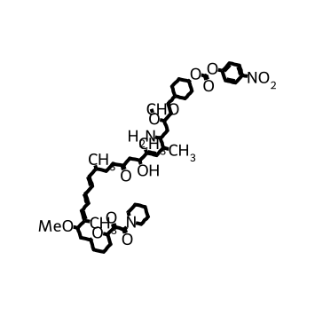 COC(CC1CCCC(C(=O)C(=O)N2CCCCC2)O1)/C(C)=C/C=C/C=C/C(C)CCC(=O)CC(O)/C(C)=C/C(C)C(N)CC(CCC1CCC(OC(=O)Oc2ccc([N+](=O)[O-])cc2)CC1)OC=O